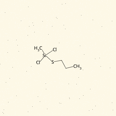 CCCS[Si](C)(Cl)Cl